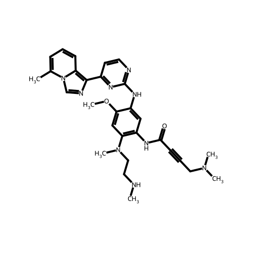 CNCCN(C)c1cc(OC)c(Nc2nccc(-c3ncn4c(C)cccc34)n2)cc1NC(=O)C#CCN(C)C